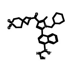 Cc1c(C(=O)N2CC3(CCS(=O)(=O)CC3)C2)cc(-c2ccc([S+]([O-])NC(C)(C)C)c3ccccc23)n1CC1CCCCC1